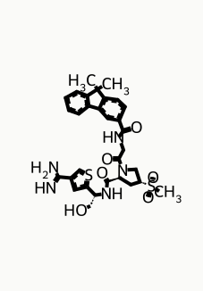 CC1(C)c2ccccc2-c2cc(C(=O)NCC(=O)N3C[C@H](S(C)(=O)=O)C[C@H]3C(=O)N[C@H](CO)c3cc(C(=N)N)cs3)ccc21